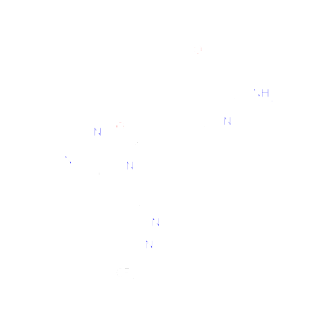 C[C@H](c1ncccn1)N(Cc1ccc(C(F)(F)F)nn1)C(=O)c1ccc2nc(N)c3c(c2c1)COC3